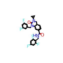 O=C(NCc1c(F)cc(F)cc1F)c1ccc2c(c1)N(Cc1cc(F)cc(F)c1)C(=O)N(C1CC1)C2